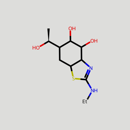 CCNC1=NC2C(CC([C@H](C)O)C(O)C2O)S1